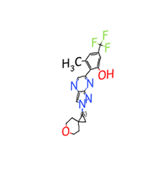 Cc1cc(C(F)(F)F)cc(O)c1-c1cnc2cn([C@H]3CC34CCOCC4)nc2n1